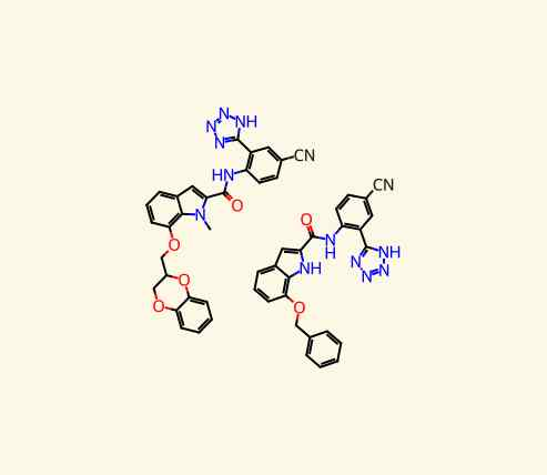 Cn1c(C(=O)Nc2ccc(C#N)cc2-c2nnn[nH]2)cc2cccc(OCC3COc4ccccc4O3)c21.N#Cc1ccc(NC(=O)c2cc3cccc(OCc4ccccc4)c3[nH]2)c(-c2nnn[nH]2)c1